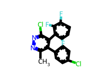 Cc1nnc(Cl)c(-c2c(F)ccc(F)c2F)c1-c1ccc(Cl)cc1